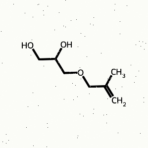 C=C(C)COCC(O)CO